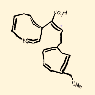 COc1cccc(/C=C(/C(=O)O)c2cccnc2)c1